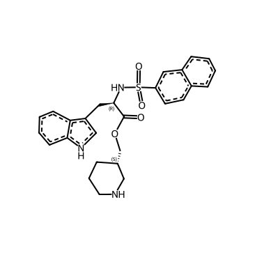 O=C(OC[C@H]1CCCNC1)[C@@H](Cc1c[nH]c2ccccc12)NS(=O)(=O)c1ccc2ccccc2c1